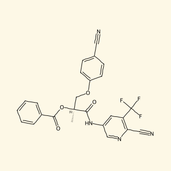 C[C@@](COc1ccc(C#N)cc1)(OC(=O)c1ccccc1)C(=O)Nc1cnc(C#N)c(C(F)(F)F)c1